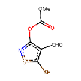 COC(=O)Oc1nsc(S)c1C=O